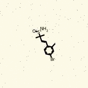 Cc1cc(Br)ccc1C=CC(C)(C)[S+](N)[O-]